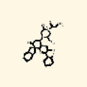 C=CC(=O)N1CC(C)N(C2=CC(=O)C3(Cc4ccccc4C3)c3nc(-c4ccccc4F)c(Cl)cc32)CC1C